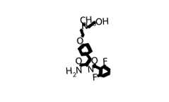 CN(CCO)CCOc1ccc(-c2oc(-c3c(F)cccc3F)nc2C(N)=O)cc1